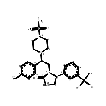 CS(=O)(=O)N1CCN(C(CN2C(=O)NC[C@@H]2c2cccc(C(F)(F)F)c2)c2ccc(Cl)cc2)CC1